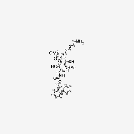 COC(=O)C1(OCCCSCCN)CC(O)C(NC(C)=O)C([C@@H](O)[C@H](O)CNC(=O)OCC2c3ccccc3-c3ccccc32)O1